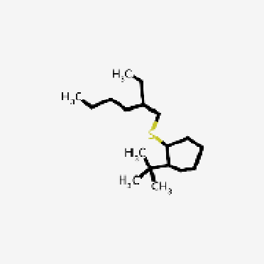 CCCCC(CC)CSC1CCCCC1C(C)(C)C